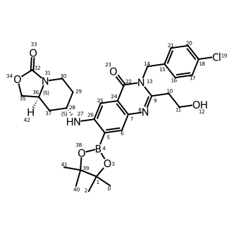 CC1(C)OB(c2cc3nc(CCO)n(Cc4ccc(Cl)cc4)c(=O)c3cc2N[C@H]2CCN3C(=O)OC[C@@H]3C2)OC1(C)C